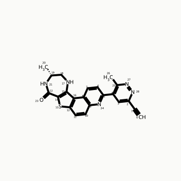 C#Cc1cc(-c2ccc3c(ccc4sc5c(c43)NC[C@@H](C)NC5=O)n2)c(C)nn1